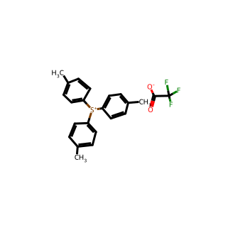 Cc1ccc([S+](c2ccc(C)cc2)c2ccc(C)cc2)cc1.O=C([O-])C(F)(F)F